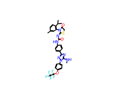 CNc1nc(-c2ccc(NC(=O)/N=C3\SCC(=O)N3c3cc(C)ccc3C(C)C)cc2)nn1-c1ccc(OC(F)(F)C(F)(F)F)cc1